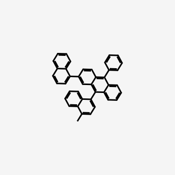 Cc1ccc(-c2c3ccccc3c(-c3ccccc3)c3ccc(-c4cccc5ccccc45)cc23)c2ccccc12